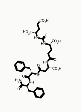 NC(=O)[C@H](Cc1ccccc1)NC(=O)[C@H](Cc1ccccc1)NC(=O)C[C@H](NC(=O)CC[C@H](NC(=O)N[C@@H](CCC(=O)O)C(=O)O)C(=O)O)C(=O)O